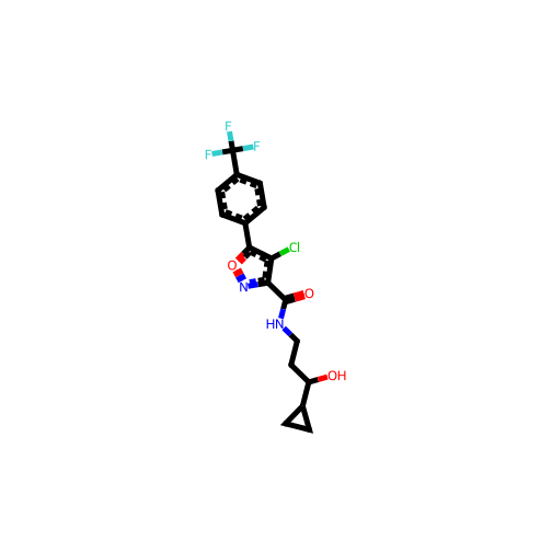 O=C(NCCC(O)C1CC1)c1noc(-c2ccc(C(F)(F)F)cc2)c1Cl